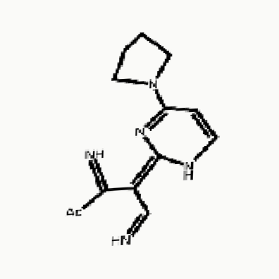 CC(=O)C(=N)/C(C=N)=C1\N=C(N2CCCC2)C=CN1